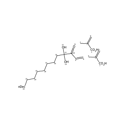 C=C(C)C(=O)O.C=C(C)C(=O)O.C=CC(=O)C(O)(O)CCCCCCCCCCCCCCCCC